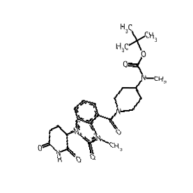 CN(C(=O)OC(C)(C)C)C1CCN(C(=O)c2cccc3c2n(C)c(=O)n3C2CCC(=O)NC2=O)CC1